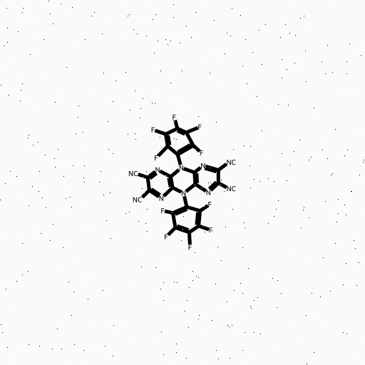 [C-]#[N+]c1nc2c(nc1[N+]#[C-])N(c1c(F)c(F)c(F)c(F)c1F)c1nc(C#N)c(C#N)nc1N2c1c(F)c(F)c(F)c(F)c1F